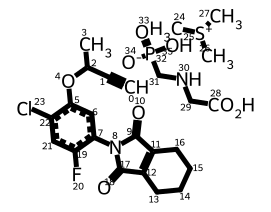 C#CC(C)Oc1cc(N2C(=O)C3=C(CCCC3)C2=O)c(F)cc1Cl.C[S+](C)C.O=C(O)CNCP(=O)([O-])O